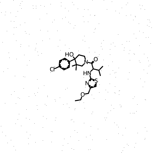 CCOCc1csc(NC(C(=O)N2CCC(O)(c3ccc(Cl)cc3)C(C)(C)C2)C(C)C)n1